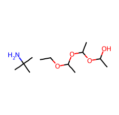 CC(C)(C)N.CCOC(C)OC(C)OC(C)O